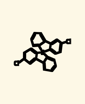 Clc1ccc2c(c1)-c1ccccc1S21c2ccccc2-c2cc(Cl)ccc21